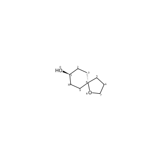 O[C@H]1CC[C@@]2(CCCO2)CC1